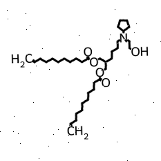 C=CCCCCCCCCC(=O)OCC(CCCCN(CCO)C1CCCC1)COC(=O)CCCCCCCCC=C